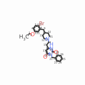 CCOc1ccc(Br)c(CC2CCN(CCc3cc(=O)n(Cc4ccccc4)c(=O)[nH]3)CC2)c1